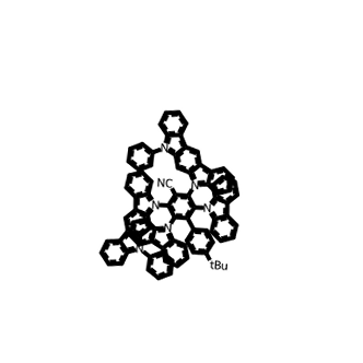 CC(C)(C)c1ccc(-c2c(-n3c4ccccc4c4ccccc43)c(-n3c4ccccc4c4cc5c6ccccc6n(-c6ccccc6)c5cc43)c(C#N)c(-n3c4ccccc4c4cc5c6ccccc6n(-c6ccccc6)c5cc43)c2-n2c3ccccc3c3ccccc32)cc1